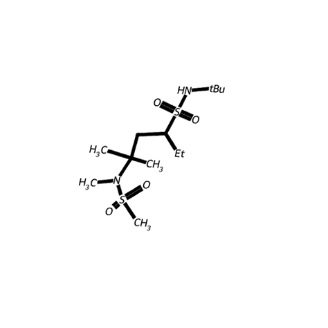 CCC(CC(C)(C)N(C)S(C)(=O)=O)S(=O)(=O)NC(C)(C)C